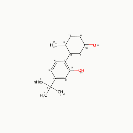 CCCCCCC(C)(C)c1ccc(C2CC(=O)CCC2C)c(O)c1